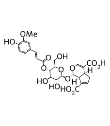 COc1cc(/C=C/C(=O)O[C@H]2[C@H](O)[C@@H](O)[C@H](O[C@@H]3OC=C(C(=O)O)[C@H]4CC=C(C(=O)O)[C@@H]34)O[C@@H]2CO)ccc1O